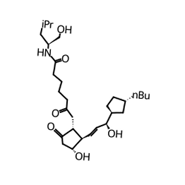 CCCC[C@H]1CC[C@H]([C@@H](O)/C=C/[C@H]2[C@H](O)CC(=O)[C@@H]2CC(=O)CCCCC(=O)N[C@H](CO)CC(C)C)C1